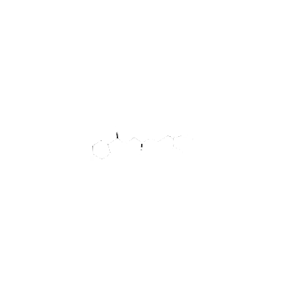 CN(C)CCOC(=O)COC(=O)C1CCCCC1